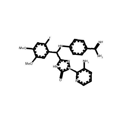 COc1cc(F)c(C(Nc2ccc(C(=N)N)cc2)c2nn(-c3ncccc3N)c(=O)[nH]2)cc1OC